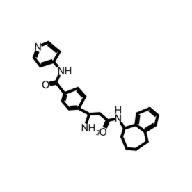 NC(CC(=O)NC1CCCCc2ccccc21)c1ccc(C(=O)Nc2ccncc2)cc1